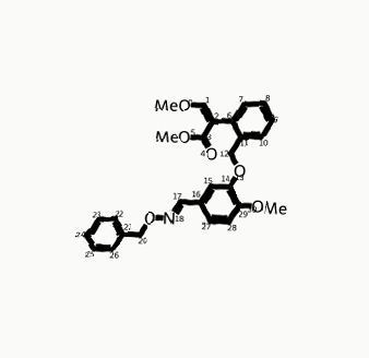 CO/C=C(\C(=O)OC)c1ccccc1COc1cc(/C=N/OCc2ccccc2)ccc1OC